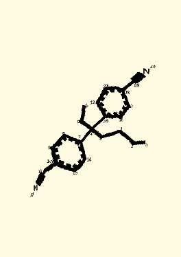 CCCCC(CC)(c1ccc(C#N)cc1)c1ccc(C#N)cc1